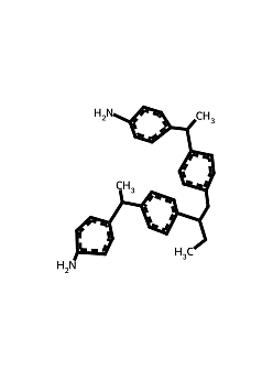 CCC(Cc1ccc(C(C)c2ccc(N)cc2)cc1)c1ccc(C(C)c2ccc(N)cc2)cc1